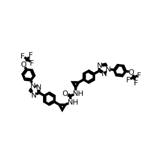 O=C(NC1CC1c1ccc(-c2ncn(-c3ccc(OC(F)(F)F)cc3)n2)cc1)NC1CC1c1ccc(-c2ncn(-c3ccc(OC(F)(F)F)cc3)n2)cc1